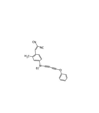 [C-]#[N+]C(=Cc1ccc(N(C#CC#COc2ccccc2)CC)cc1C)[N+]#[C-]